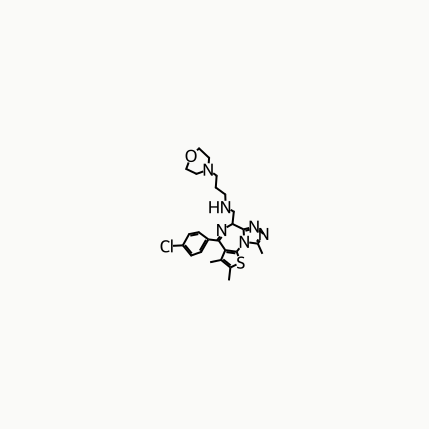 Cc1sc2c(c1C)C(c1ccc(Cl)cc1)=NC(CNCCCN1CCOCC1)c1nnc(C)n1-2